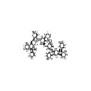 O=P1(c2ccccc2)c2ccc(-n3c4ccccc4c4cc(-c5ccccc5Nc5ccccc5)ccc43)cc2Sc2cc(-n3c4ccccc4c4cc5c6ccccc6n(-c6ccccc6)c5cc43)ccc21